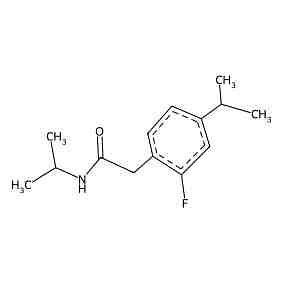 CC(C)NC(=O)Cc1ccc(C(C)C)cc1F